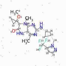 COC1(C2C(=O)Nc3c(C)nc(N[C@H]4C[C@@H](Cn5nccc5C(F)(F)F)C4)nc3N2C)CC1